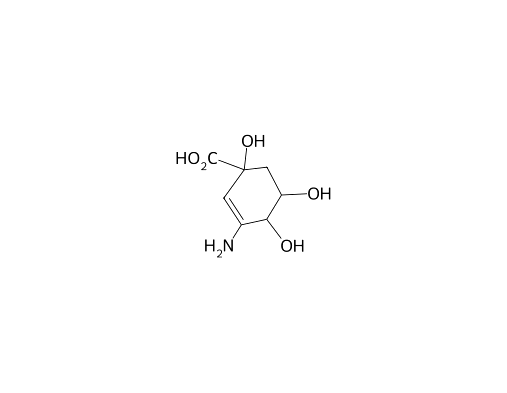 NC1=CC(O)(C(=O)O)CC(O)C1O